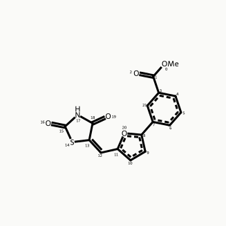 COC(=O)c1cccc(-c2ccc(C=C3SC(=O)NC3=O)o2)c1